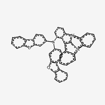 c1ccc2c(c1)oc1cc(N(c3ccc4c(c3)oc3ccccc34)c3cccc4c3c3c5ccccc5n5c6ccccc6n4c35)ccc12